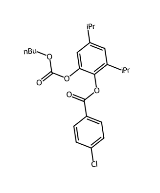 CCCCOC(=O)Oc1cc(C(C)C)cc(C(C)C)c1OC(=O)c1ccc(Cl)cc1